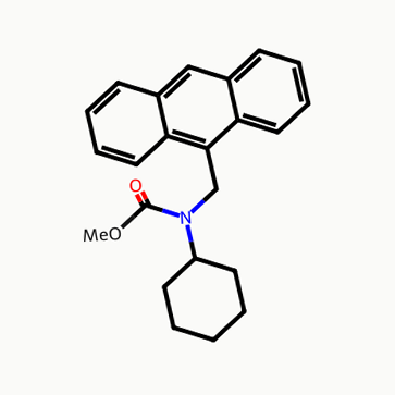 COC(=O)N(Cc1c2ccccc2cc2ccccc12)C1CCCCC1